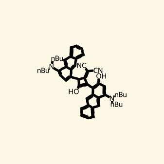 CCCCN(CCCC)c1ccc(C2C(O)=C(c3c(O)cc(N(CCCC)CCCC)c4cc5ccccc5cc34)C2=C(C#N)C#N)c2cc3ccccc3cc12